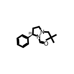 CC(C)(C)CN1CC[C@H](c2ccccc2)N1C=O